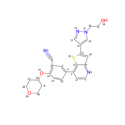 N#Cc1cc(-c2ccnc3cc(-c4cnn(CCO)c4)sc23)ccc1OC1CCOCC1